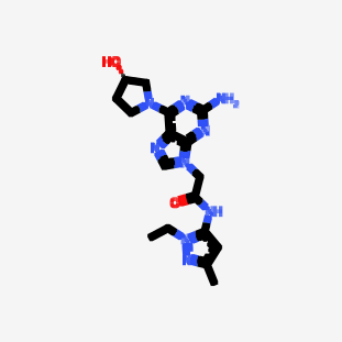 CCn1nc(C)cc1NC(=O)Cn1cnc2c(N3CC[C@H](O)C3)nc(N)nc21